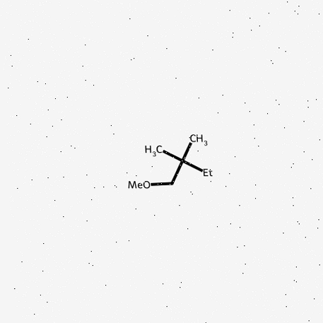 CCC(C)(C)COC